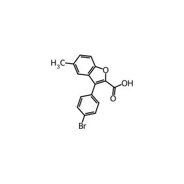 Cc1ccc2oc(C(=O)O)c(-c3ccc(Br)cc3)c2c1